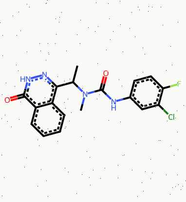 CC(c1n[nH]c(=O)c2ccccc12)N(C)C(=O)Nc1ccc(F)c(Cl)c1